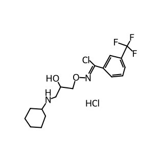 Cl.OC(CNC1CCCCC1)CON=C(Cl)c1cccc(C(F)(F)F)c1